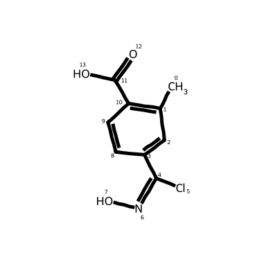 Cc1cc(/C(Cl)=N\O)ccc1C(=O)O